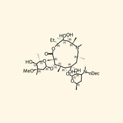 CCCCCCCCCCN(C)C1C[C@@H](C)O[C@@H](O[C@@H]2[C@@H](C)[C@H](O[C@H]3C[C@@](C)(OC)[C@@H](O)[C@H](C)O3)[C@@H](C)C(=O)O[C@H](CC)[C@@](C)(O)[C@H](O)[C@@H](C)N(C)C[C@H](C)C[C@@]2(C)O)[C@@H]1O